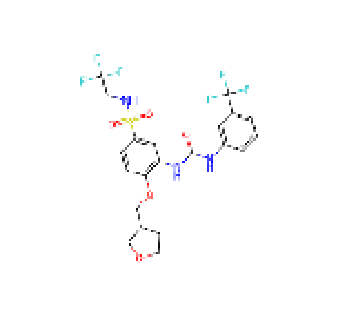 O=C(Nc1cccc(C(F)(F)F)c1)Nc1cc(S(=O)(=O)NCC(F)(F)F)ccc1OCC1CCOC1